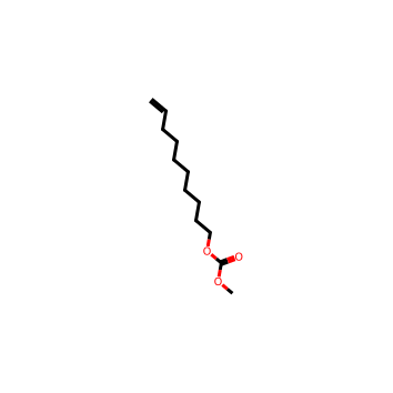 C=CCCCCCCCCOC(=O)OC